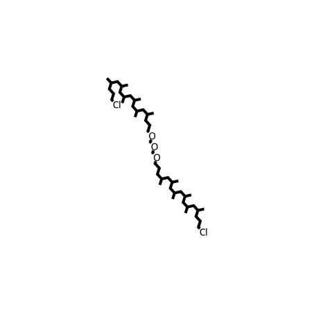 CC(CCCCl)CC(C)CC(C)CC(C)CC(C)CC(C)CCCOCOCOCCCC(C)CC(C)CC(C)CC(C)CC(C)CC(C)CCCCl